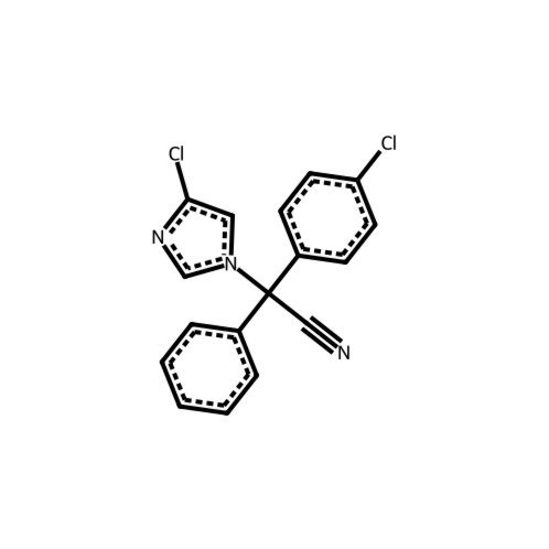 N#CC(c1ccccc1)(c1ccc(Cl)cc1)n1cnc(Cl)c1